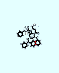 C=C(NCc1ccccc1)N1[C@H]2CN(CC(c3ccccc3)c3ccccc3)C(=O)[C@H](Cc3ccccc3)N2C(=O)CN1CC